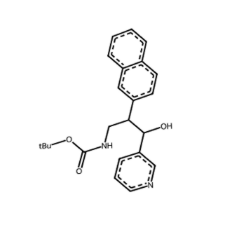 CC(C)(C)OC(=O)NCC(c1ccc2ccccc2c1)C(O)c1cccnc1